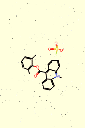 Cc1cccc(C)c1OC(=O)c1c2ccccc2[n+](C)c2ccccc12.O=S(=O)([O-])F